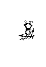 C[Si](C)(C)OC1(C(F)(F)C(F)(F)F)CCCc2c1[nH]c1cc(Cl)c(Cl)cc21